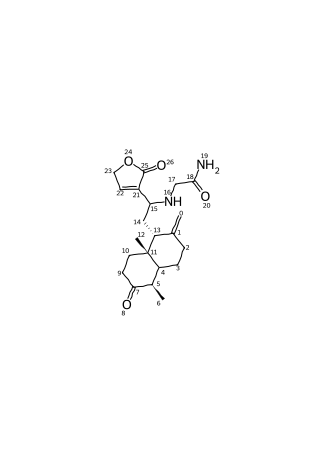 C=C1CCC2[C@@H](C)C(=O)CC[C@]2(C)[C@@H]1CC(NCC(N)=O)C1=CCOC1=O